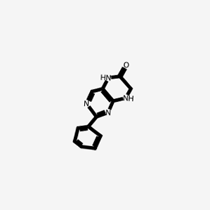 O=C1CNc2nc(-c3ccccc3)ncc2N1